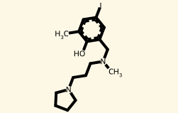 Cc1cc(I)cc(CN(C)CCCN2CCCC2)c1O